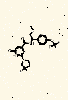 COCC(NC(=O)c1cc(=O)[nH]c(N2CCC(F)(F)C2)n1)c1ccc(OC(F)(F)F)cc1